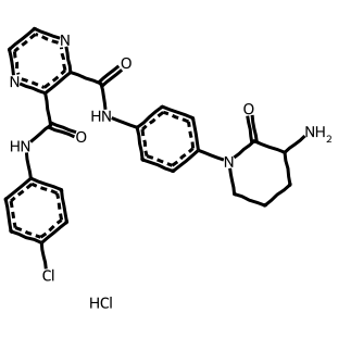 Cl.NC1CCCN(c2ccc(NC(=O)c3nccnc3C(=O)Nc3ccc(Cl)cc3)cc2)C1=O